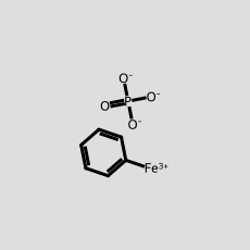 O=P([O-])([O-])[O-].[Fe+3][c]1ccccc1